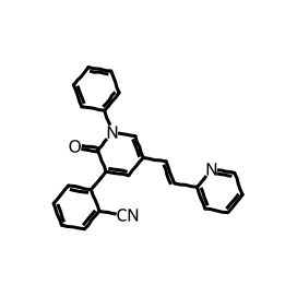 N#Cc1ccccc1-c1cc(C=Cc2ccccn2)cn(-c2ccccc2)c1=O